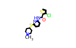 CN1CCC(Sc2cccc(NC(=O)c3sccc3Cl)n2)CC1